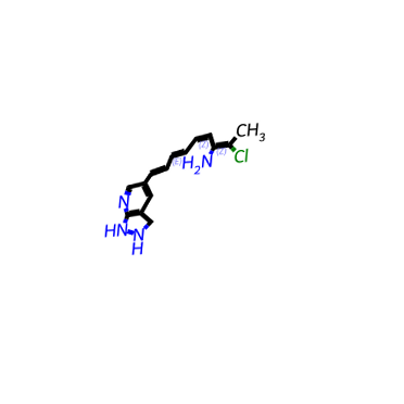 C\C(Cl)=C(N)/C=C\C=C\C=Cc1cnc2c(c1)CNN2